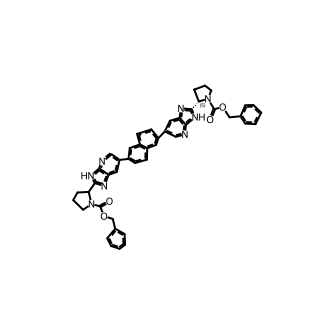 O=C(OCc1ccccc1)N1CCCC1c1nc2cc(-c3ccc4cc(-c5cnc6[nH]c([C@@H]7CCCN7C(=O)OCc7ccccc7)nc6c5)ccc4c3)cnc2[nH]1